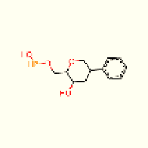 OPOCC1OCC(c2ccccc2)C[C@H]1O